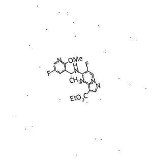 CCOC(=O)c1cnn2cc(F)c(N[C@H](C)c3cc(F)cnc3OC)nc12